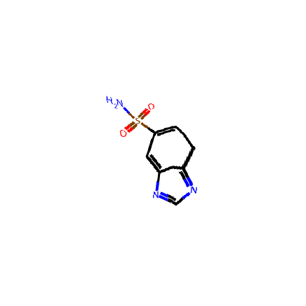 NS(=O)(=O)C1=CCC2=NC=NC2=C1